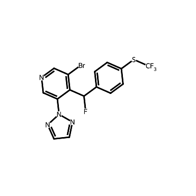 FC(c1ccc(SC(F)(F)F)cc1)c1c(Br)cncc1-n1nccn1